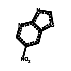 O=[N+]([O-])c1cnc2ncsc2c1